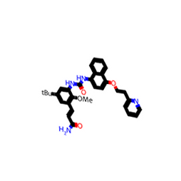 COc1c(/C=C/C(N)=O)cc(C(C)(C)C)cc1NC(=O)Nc1ccc(OCCc2ccccn2)c2ccccc12